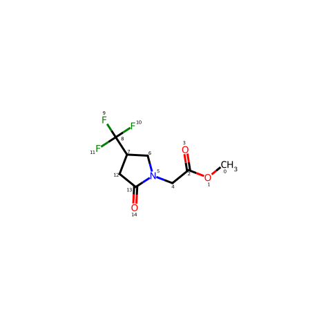 COC(=O)CN1CC(C(F)(F)F)CC1=O